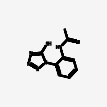 CC(=O)Nc1ccccc1-n1nnnc1S